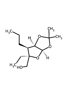 CCC[C@H]1[C@H]2OC(C)(C)O[C@H]2O[C@@]1(CC)CO